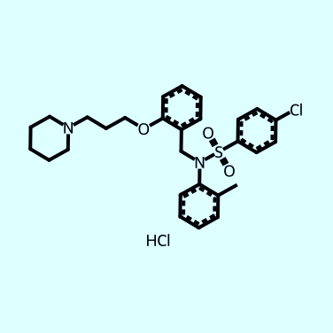 Cc1ccccc1N(Cc1ccccc1OCCCN1CCCCC1)S(=O)(=O)c1ccc(Cl)cc1.Cl